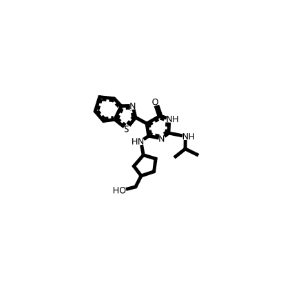 CC(C)Nc1nc(NC2CCC(CO)C2)c(-c2nc3ccccc3s2)c(=O)[nH]1